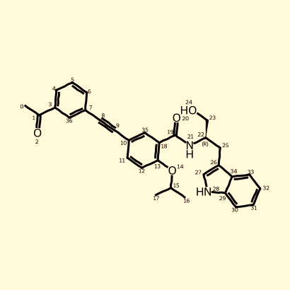 CC(=O)c1cccc(C#Cc2ccc(OC(C)C)c(C(=O)N[C@@H](CO)Cc3c[nH]c4ccccc34)c2)c1